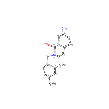 COc1ccc(Cn2ccc3ccc(N)cc3c2=O)c(OC)c1